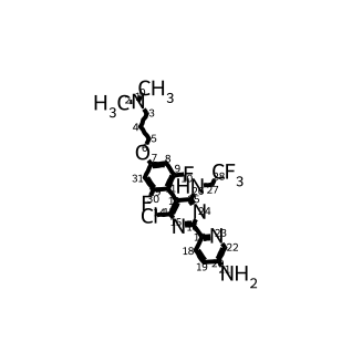 CN(C)CCCOc1cc(F)c(-c2c(Cl)nc(-c3ccc(N)cn3)nc2NCC(F)(F)F)c(F)c1